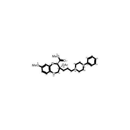 COC(=O)[C@@H]1Sc2cc(OC)ccc2OC[C@@]1(CCCN1CCN(c2ccccc2)CC1)OC(C)=O